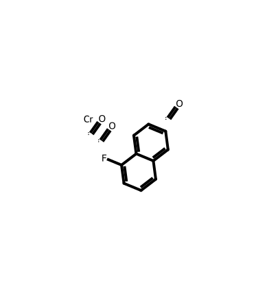 Fc1cccc2ccccc12.[C]=O.[C]=O.[C]=O.[Cr]